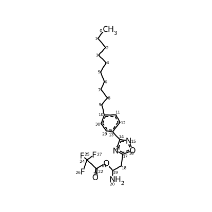 CCCCCCCCCCc1ccc(-c2noc(CC(N)OC(=O)C(F)(F)F)n2)cc1